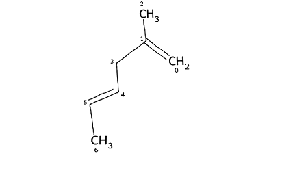 C=C(C)C/C=C/C